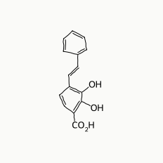 O=C(O)c1ccc(/C=C/c2ccccc2)c(O)c1O